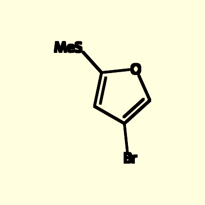 CSc1cc(Br)co1